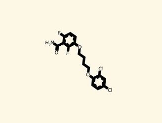 NC(=O)c1c(F)ccc(OCCCCOc2ccc(Cl)cc2Cl)c1F